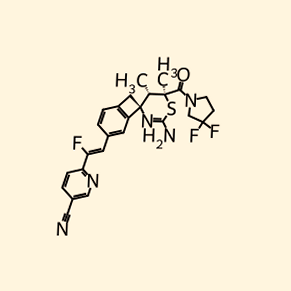 C[C@@H]1[C@@](C)(C(=O)N2CCC(F)(F)C2)SC(N)=N[C@@]12Cc1ccc(/C=C(\F)c3ccc(C#N)cn3)cc12